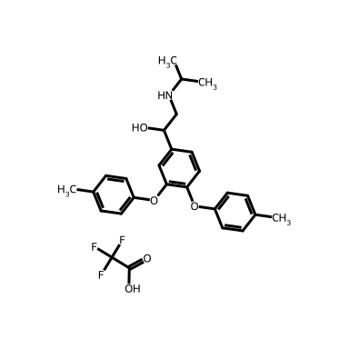 Cc1ccc(Oc2ccc(C(O)CNC(C)C)cc2Oc2ccc(C)cc2)cc1.O=C(O)C(F)(F)F